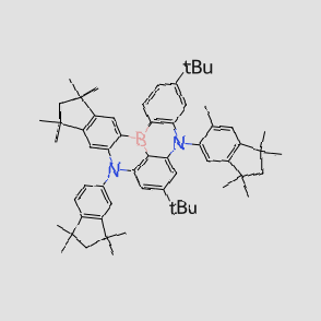 Cc1cc2c(cc1N1c3cc(C(C)(C)C)ccc3B3c4cc5c(cc4N(c4ccc6c(c4)C(C)(C)CC6(C)C)c4cc(C(C)(C)C)cc1c43)C(C)(C)CC5(C)C)C(C)(C)CC2(C)C